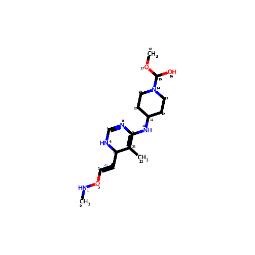 CNO/C=C/C1NC=NC(NC2CCN(C(O)OC)CC2)=C1C